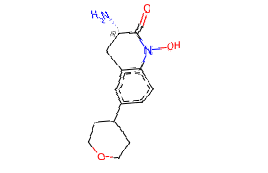 N[C@H]1Cc2cc(C3CCOCC3)ccc2N(O)C1=O